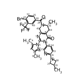 Cc1cc(C)n(-c2nc3c(c(=O)n2-c2ccc(N4CC(C)C4)nc2)C[C@@H](C)N(C(=O)c2ccc(Br)c(C(F)(F)F)c2)C3)n1